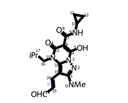 CNc1nn2c(O)c(C(=O)NC3CC3)c(=O)n(CC(C)C)c2c1/C=C/C=O